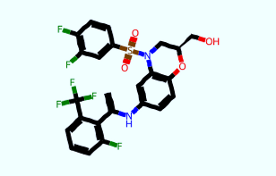 C=C(Nc1ccc2c(c1)N(S(=O)(=O)c1ccc(F)c(F)c1)C[C@@H](CO)O2)c1c(F)cccc1C(F)(F)F